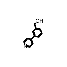 OCc1cc[c]c(-c2ccncc2)c1